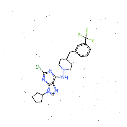 FC(F)(F)c1cccc(CC2CCN(Nc3nc(Cl)nc4c3ncn4C3CCCC3)CC2)c1